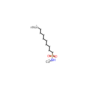 CCCCCCCCCCCCCCCCCCS(=O)(=O)[NH][Cu]